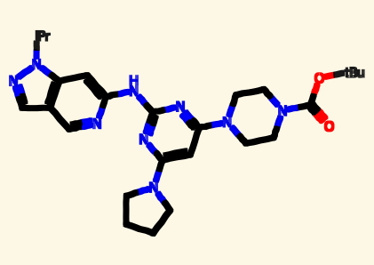 CC(C)n1ncc2cnc(Nc3nc(N4CCCC4)cc(N4CCN(C(=O)OC(C)(C)C)CC4)n3)cc21